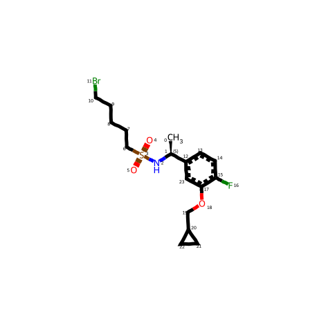 C[C@H](NS(=O)(=O)CCCCCBr)c1ccc(F)c(OCC2CC2)c1